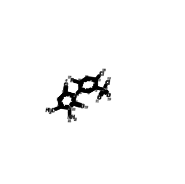 Cc1cc(=O)n(-c2cc(S(=O)(=O)Cl)c(Cl)cc2F)c(=O)n1N